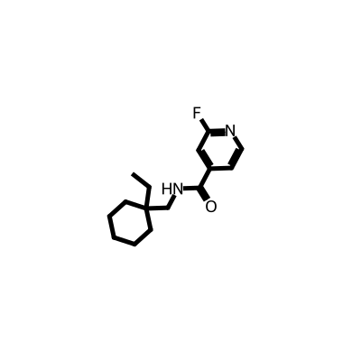 CCC1(CNC(=O)c2ccnc(F)c2)CCCCC1